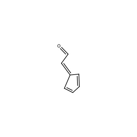 O=CC=C1C=CC=C1